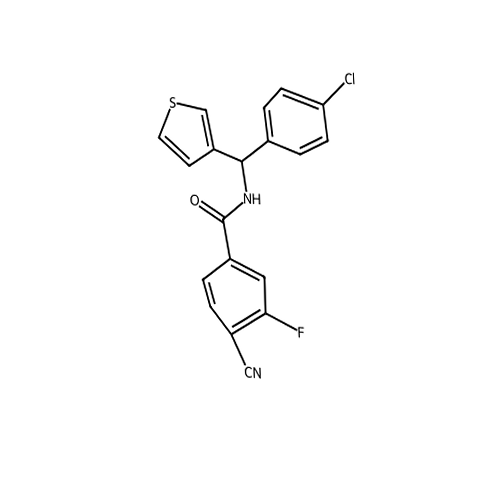 N#Cc1ccc(C(=O)NC(c2ccc(Cl)cc2)c2ccsc2)cc1F